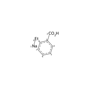 C[CH2][Na].O=C(O)c1ccccc1